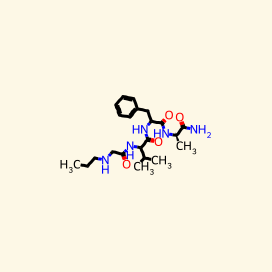 CCCNCC(=O)NC(C(=O)NC(Cc1ccccc1)C(=O)N[C@H](C)C(N)=O)C(C)C